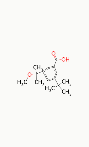 COC(C)(C)c1cc(C(=O)O)cc(C(C)(C)C)c1